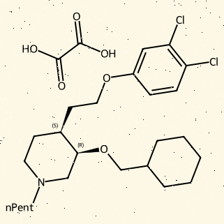 CCCCCN1CC[C@@H](CCOc2ccc(Cl)c(Cl)c2)[C@@H](OCC2CCCCC2)C1.O=C(O)C(=O)O